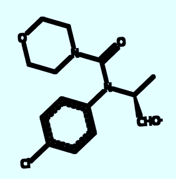 C[C@@H]([C]=O)N(C(=O)N1CCOCC1)c1ccc(Cl)cc1